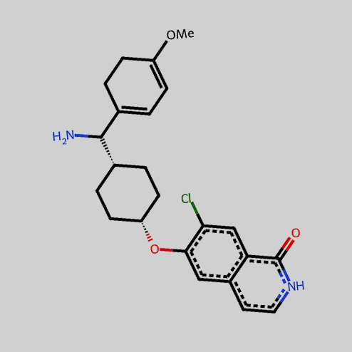 COC1=CC=C(C(N)[C@H]2CC[C@@H](Oc3cc4cc[nH]c(=O)c4cc3Cl)CC2)CC1